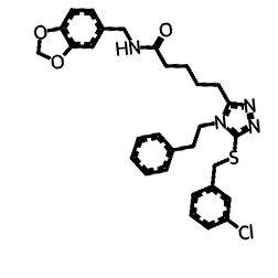 O=C(CCCCc1nnc(SCc2cccc(Cl)c2)n1CCc1ccccc1)NCc1ccc2c(c1)OCO2